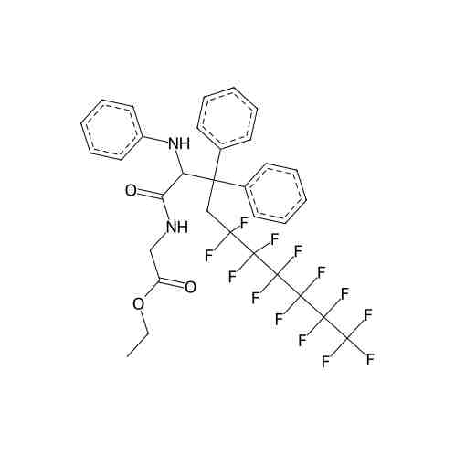 CCOC(=O)CNC(=O)C(Nc1ccccc1)C(CC(F)(F)C(F)(F)C(F)(F)C(F)(F)C(F)(F)C(F)(F)F)(c1ccccc1)c1ccccc1